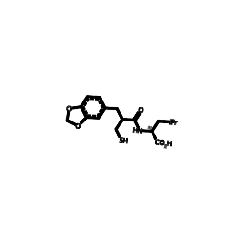 CC(C)C[C@H](NC(=O)C(CS)Cc1ccc2c(c1)OCO2)C(=O)O